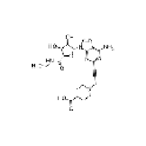 CCNC(=O)[C@H]1O[C@@H](n2cnc3c(N)nc(C#CCN4CCC(C(=O)O)CC4)nc32)C(O)C1O